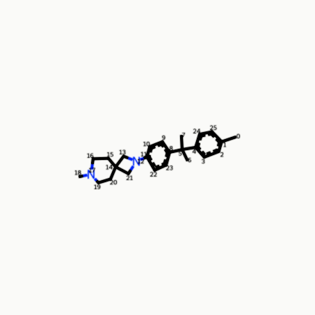 Cc1ccc(C(C)(C)c2ccc(N3CC4(CCN(C)CC4)C3)cc2)cc1